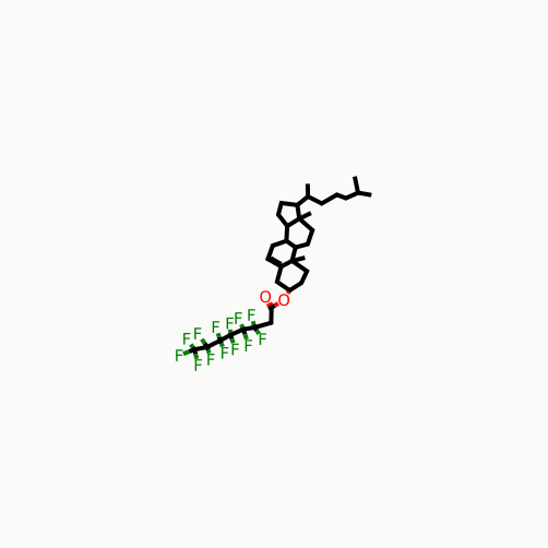 CC(C)CCCC(C)C1CCC2C3CC=C4CC(OC(=O)CC(F)(F)C(F)(F)C(F)(F)C(F)(F)C(F)(F)C(F)(F)F)CCC4(C)C3CCC12C